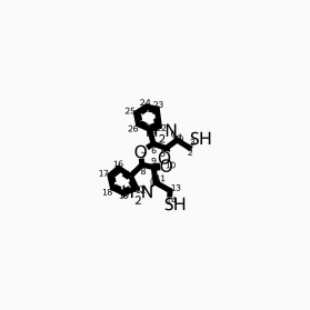 N[C@@H](CS)C(=O)C(OC(C(=O)[C@@H](N)CS)c1ccccc1)c1ccccc1